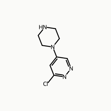 Clc1cc(N2CCNCC2)cnn1